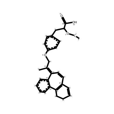 CCOC(Cc1ccc(OC/C(C)=C2\C=CC3=C(CCC=C3)c3ccccc32)cc1)C(=O)O